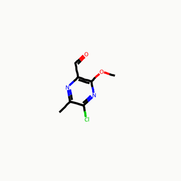 COc1nc(Cl)c(C)nc1C=O